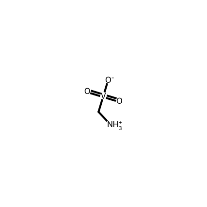 [NH3+][CH2][V](=[O])(=[O])[O-]